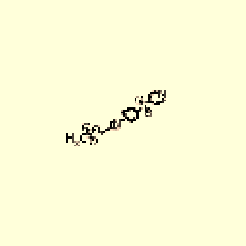 CS(=O)(=O)OCC1CN(c2ccc(S(=O)(=O)c3ccncc3)cc2)C1